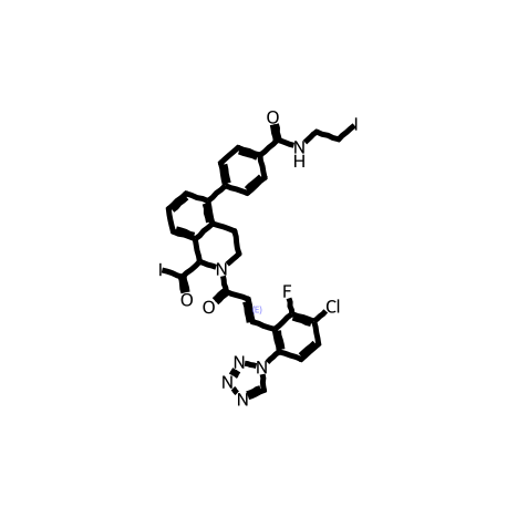 O=C(NCCI)c1ccc(-c2cccc3c2CCN(C(=O)/C=C/c2c(-n4cnnn4)ccc(Cl)c2F)C3C(=O)I)cc1